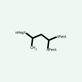 CCCCCCCC(C)CC(CCCCC)CCCCC